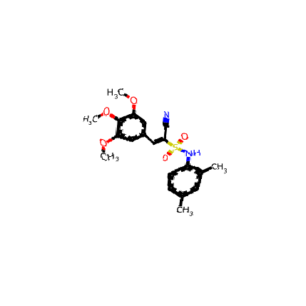 COc1cc(C=C(C#N)S(=O)(=O)Nc2ccc(C)cc2C)cc(OC)c1OC